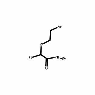 CCC(SCCC(C)=O)C(=O)NC(C)C